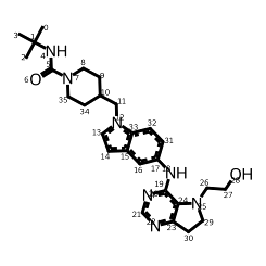 CC(C)(C)NC(=O)N1CCC(Cn2ccc3cc(Nc4ncnc5c4N(CCO)CC5)ccc32)CC1